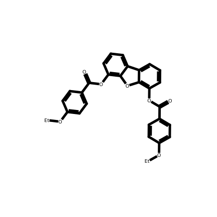 CCOc1ccc(C(=O)Oc2cccc3c2oc2c(OC(=O)c4ccc(OCC)cc4)cccc23)cc1